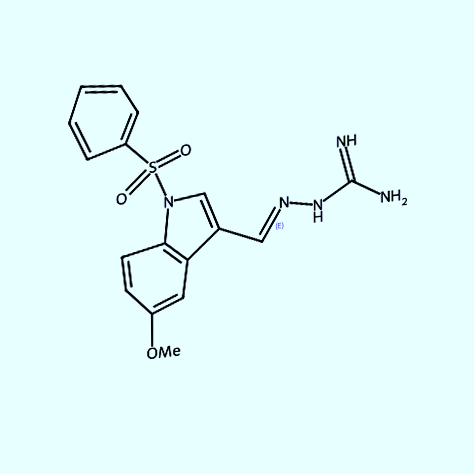 COc1ccc2c(c1)c(/C=N/NC(=N)N)cn2S(=O)(=O)c1ccccc1